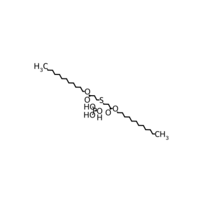 CCCCCCCCCCCCOC(=O)CCSCCC(=O)OCCCCCCCCCCCC.OP(O)O